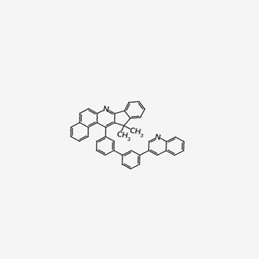 CC1(C)c2ccccc2-c2nc3ccc4ccccc4c3c(-c3cccc(-c4cccc(-c5cnc6ccccc6c5)c4)c3)c21